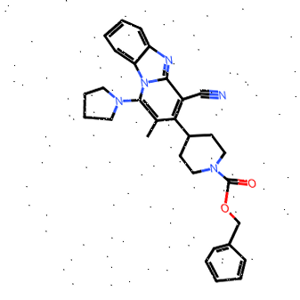 Cc1c(C2CCN(C(=O)OCc3ccccc3)CC2)c(C#N)c2nc3ccccc3n2c1N1CCCC1